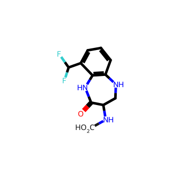 O=C(O)NC1CNc2cccc(C(F)F)c2NC1=O